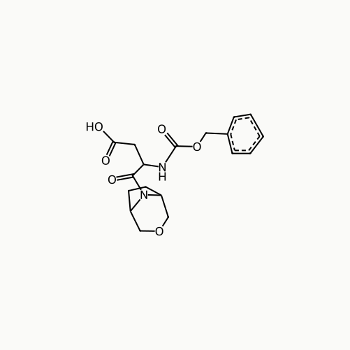 O=C(O)CC(NC(=O)OCc1ccccc1)C(=O)N1C2CCC1COC2